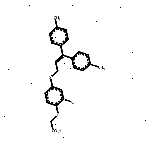 Cc1ccc(C(=CCSc2ccc(OCC(=O)O)c(Cl)c2)c2ccc(C)cc2)cc1